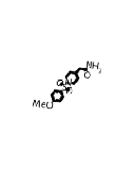 COc1ccc(S(=O)(=O)N2CCC(CC(N)=O)CC2)cc1